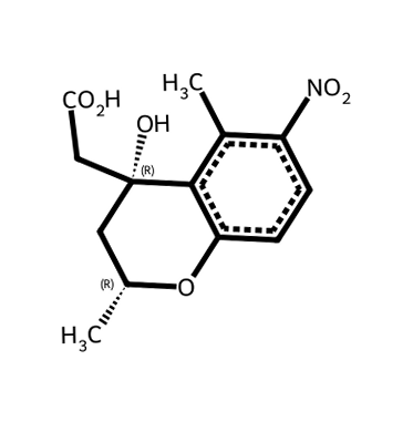 Cc1c([N+](=O)[O-])ccc2c1[C@](O)(CC(=O)O)C[C@@H](C)O2